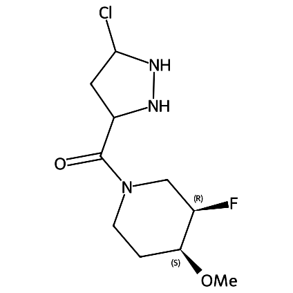 CO[C@H]1CCN(C(=O)C2CC(Cl)NN2)C[C@H]1F